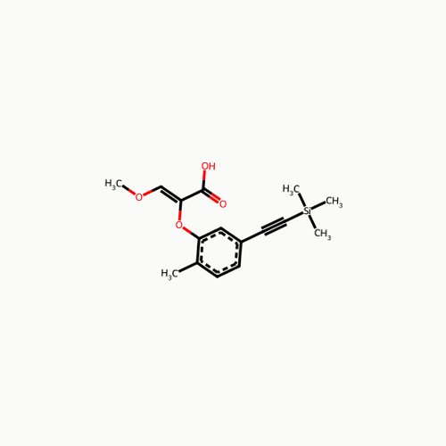 CO/C=C(\Oc1cc(C#C[Si](C)(C)C)ccc1C)C(=O)O